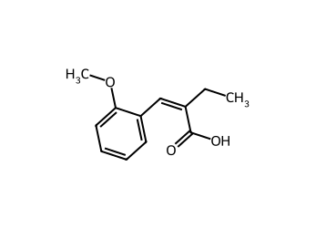 CC/C(=C/c1ccccc1OC)C(=O)O